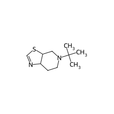 CC(C)(C)N1CCC2N=CSC2C1